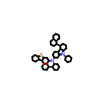 c1ccc(-c2ccccc2N(c2ccc3c(c2)sc2ccccc23)c2ccc3c4c(-c5cccc6ccccc56)cccc4n(-c4ccccc4)c3c2)cc1